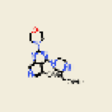 COCC1CN(c2nc(N3CCOCC3)nc3cncc(OC)c23)CCN1